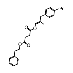 C/C(=C\OC(=O)CCC(=O)OCCc1ccccc1)Cc1ccc(C(C)C)cc1